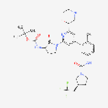 Cc1ccc(NC(=O)N2CC[C@@H](CC(F)(F)F)C2)cc1-c1cc(C2CNCCO2)nc(N2CC[C@@H](NC(=O)OC(C)(C)C)C2=O)c1